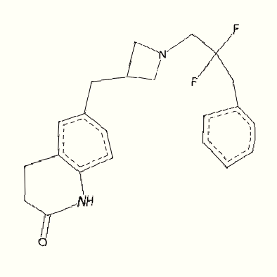 O=C1CCc2cc(CC3CN(CC(F)(F)Cc4ccccc4)C3)ccc2N1